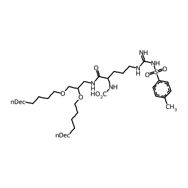 CCCCCCCCCCCCCCOCC(CNC(=O)C(CCCNC(=N)NS(=O)(=O)c1ccc(C)cc1)NC(=O)O)OCCCCCCCCCCCCCC